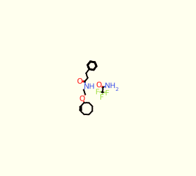 NC(=O)C(F)(F)F.O=C(CCc1ccccc1)NCCOC1C#CCCCCC1